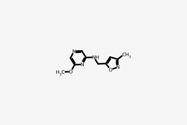 COc1cncc(NCc2cc(C)no2)n1